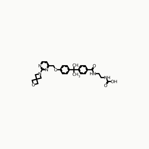 CC(C)(c1ccc(OCc2ccnc(N3CC4(COC4)C3)n2)cc1)c1ccc(C(=O)NCCNC(=O)O)cc1